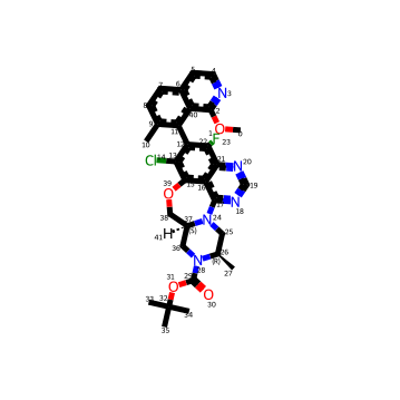 COc1nccc2ccc(C)c(-c3c(Cl)c4c5c(ncnc5c3F)N3C[C@@H](C)N(C(=O)OC(C)(C)C)C[C@H]3CO4)c12